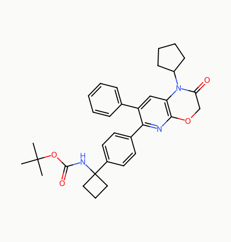 CC(C)(C)OC(=O)NC1(c2ccc(-c3nc4c(cc3-c3ccccc3)N(C3CCCC3)C(=O)CO4)cc2)CCC1